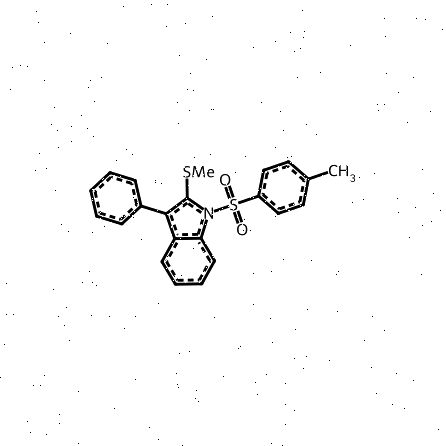 CSc1c(-c2ccccc2)c2ccccc2n1S(=O)(=O)c1ccc(C)cc1